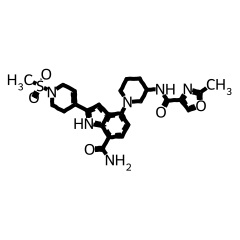 Cc1nc(C(=O)NC2CCCN(c3ccc(C(N)=O)c4[nH]c(C5=CCN(S(C)(=O)=O)CC5)cc34)C2)co1